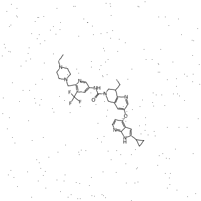 CCC1CN(C(=O)Nc2cnc(CN3CCN(CC)CC3)c(C(F)(F)F)c2)Cc2cc(Oc3ccnc4[nH]c(C5CC5)cc34)cnc21